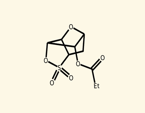 CCC(=O)OC1C2CC3C(O2)C1OS3(=O)=O